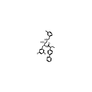 CCC(C(=O)N[C@@H](Cc1cc(F)cc(F)c1)[C@H](O)CNCc1cccc(I)c1)c1ccc(-c2ccccc2)cc1